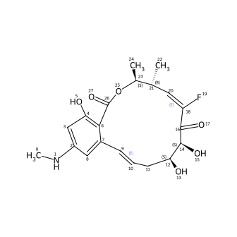 CNc1cc(O)c2c(c1)/C=C/C[C@H](O)[C@H](O)C(=O)/C(F)=C\[C@@H](C)[C@H](C)OC2=O